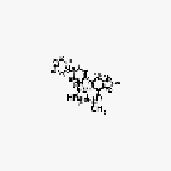 C[C@H](Oc1cc(-c2ccc(N3CCOCC3)cn2)cc2ncsc12)[C@@H]1CNC(=O)C1